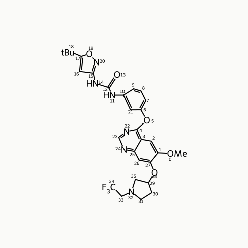 COc1cc2c(Oc3cccc(NC(=O)Nc4cc(C(C)(C)C)on4)c3)ncnc2cc1OC1CCN(CC(F)(F)F)C1